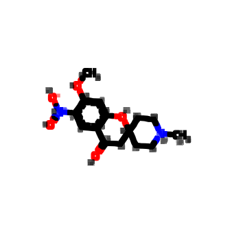 COc1cc2c(cc1[N+](=O)[O-])C(=O)CC1(CCN(C)CC1)O2